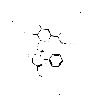 COC[C@H](F)C1O[C@@H](OP(=O)(N[C@@H](C)C(=O)OC(C)C)Oc2ccccc2)C(OC(C)=O)C(OC(C)=O)[C@@H]1OC(C)=O